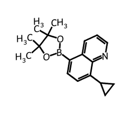 CC1(C)OB(c2ccc(C3CC3)c3ncccc23)OC1(C)C